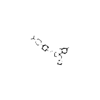 Cc1ccc(C2(Cn3nccn3)OC[C@H](COc3ccc(N4CCN(C(C)C)CC4)cc3)O2)c(Cl)c1